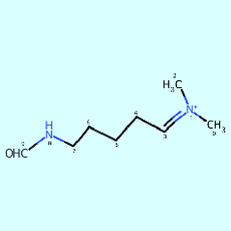 C[N+](C)=CCCCCNC=O